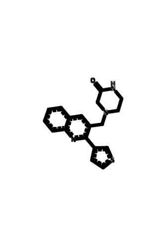 O=C1CN(Cc2cc3ccccc3nc2-c2ccsc2)CCN1